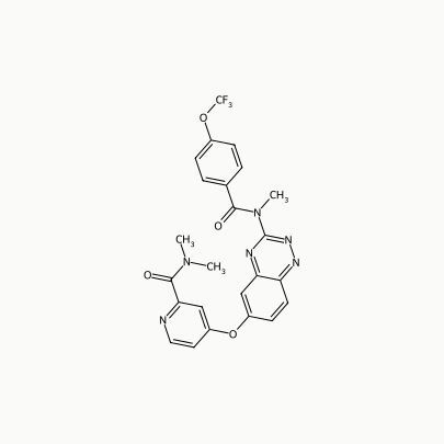 CN(C)C(=O)c1cc(Oc2ccc3nnc(N(C)C(=O)c4ccc(OC(F)(F)F)cc4)nc3c2)ccn1